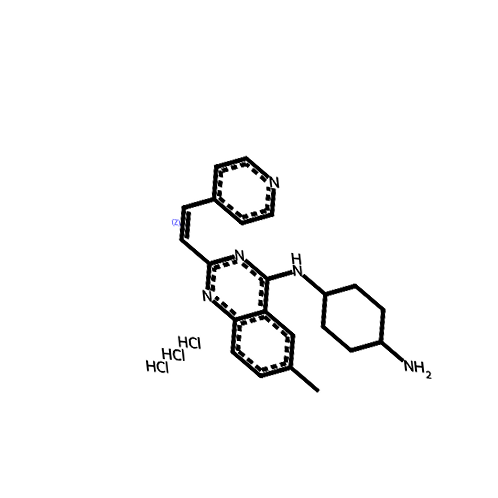 Cc1ccc2nc(/C=C\c3ccncc3)nc(NC3CCC(N)CC3)c2c1.Cl.Cl.Cl